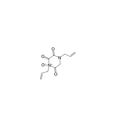 C=CCN1CC(=O)[N+]([O-])(CC=C)C(=O)C1=O